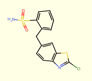 NS(=O)(=O)c1ccccc1Cc1ccc2nc(Cl)sc2c1